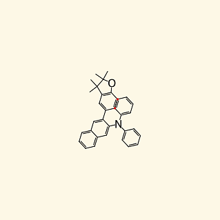 CC1(C)Oc2ccc(-c3cc4ccccc4cc3N(c3ccccc3)c3ccccc3)cc2C1(C)C